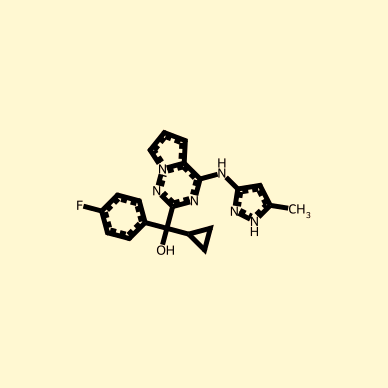 Cc1cc(Nc2nc(C(O)(c3ccc(F)cc3)C3CC3)nn3cccc23)n[nH]1